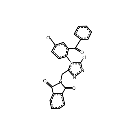 O=C(c1ccccc1)c1cc(Cl)ccc1-n1c(Cl)nnc1CN1C(=O)c2ccccc2C1=O